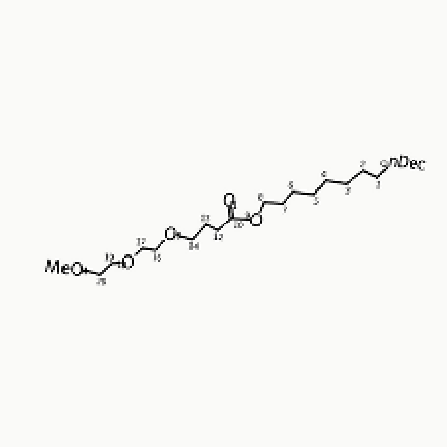 CCCCCCCCCCCCCCCCCCOC(=O)CCCOCCOCCOC